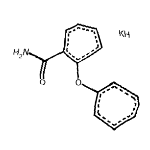 NC(=O)c1ccccc1Oc1ccccc1.[KH]